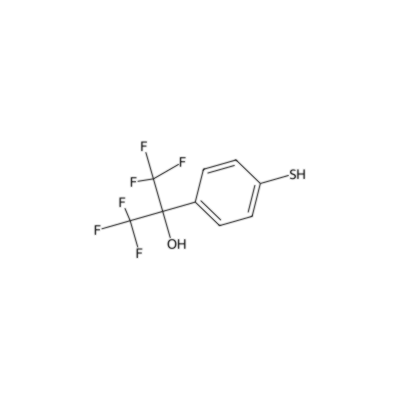 OC(c1ccc(S)cc1)(C(F)(F)F)C(F)(F)F